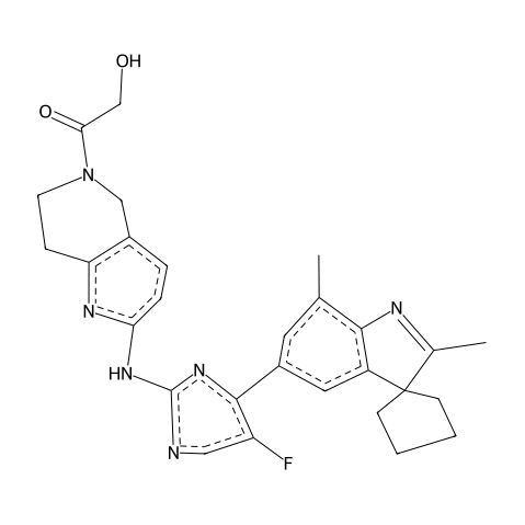 CC1=Nc2c(C)cc(-c3nc(Nc4ccc5c(n4)CCN(C(=O)CO)C5)ncc3F)cc2C12CCCC2